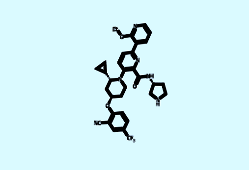 CCOc1ncccc1-c1ccc(N2CC[C@@H](Oc3ccc(C(F)(F)F)cc3C#N)C[C@@H]2C2CC2)c(C(=O)N[C@@H]2CCNC2)n1